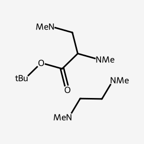 CNCC(NC)C(=O)OC(C)(C)C.CNCCNC